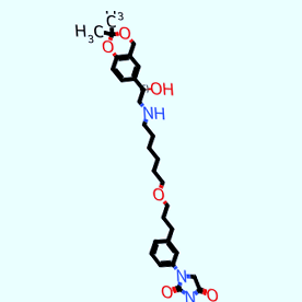 CC1(C)OCc2cc([C@H](O)CNCCCCCCOCCCc3cccc(N4CC(=O)NC4=O)c3)ccc2O1